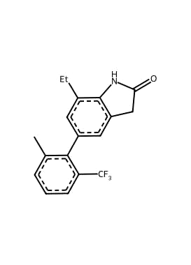 CCc1cc(-c2c(C)cccc2C(F)(F)F)cc2c1NC(=O)C2